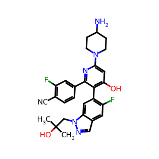 CC(C)(O)Cn1ncc2cc(F)c(-c3c(O)cc(N4CCC(N)CC4)nc3-c3ccc(C#N)c(F)c3)cc21